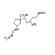 CCCC(CCNC(C)=O)CCC1(C(=O)O)CCC(NC=NN)C1